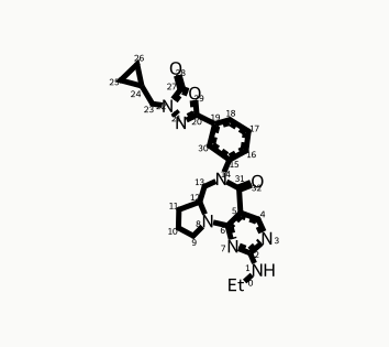 CCNc1ncc2c(n1)N1CCCC1CN(c1cccc(-c3nn(CC4CC4)c(=O)o3)c1)C2=O